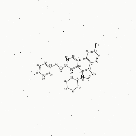 Fc1ccc(-c2ncn(C3CCCCC3)c2-c2ccnc(OCc3cccnc3)n2)cc1